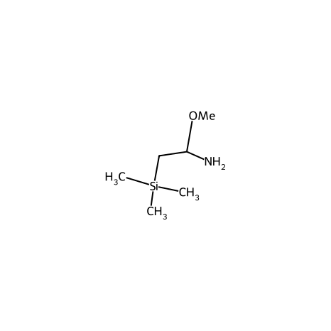 COC(N)C[Si](C)(C)C